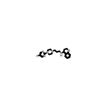 Fc1cnc(N2CCN(CCCNC3=c4ccccc4=NCC3)CC2)nc1